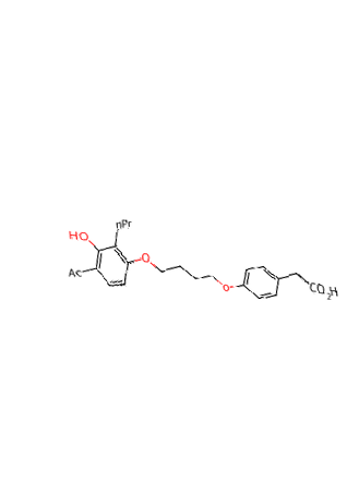 CCCc1c(OCCCCOc2ccc(CC(=O)O)cc2)ccc(C(C)=O)c1O